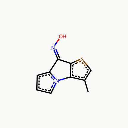 Cc1csc2c1-n1cccc1C2=NO